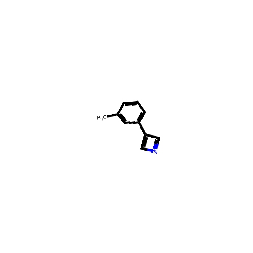 Cc1cccc(C2=CN=C2)c1